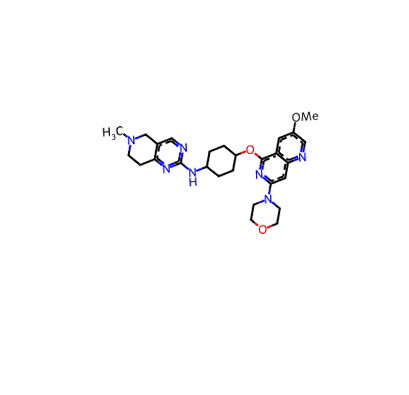 COc1cnc2cc(N3CCOCC3)nc(OC3CCC(Nc4ncc5c(n4)CCN(C)C5)CC3)c2c1